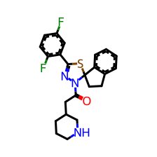 O=C(CC1CCCNC1)N1N=C(c2cc(F)ccc2F)SC12CCc1ccccc12